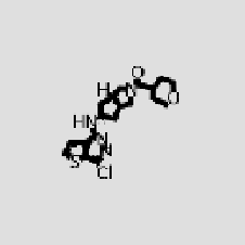 O=C(C1CCOCC1)N1CC2C[C@@H](Nc3nnc(Cl)c4sccc34)C[C@@H]2C1